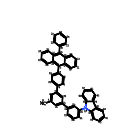 N#Cc1cc(-c2ccc(-c3c4ccccc4c(-c4ccccc4)c4ccccc34)cc2)cc(-c2cccc(-n3c4ccccc4c4ccccc43)c2)c1